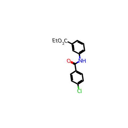 CCOC(=O)c1cccc(NC(=O)c2ccc(Cl)cc2)c1